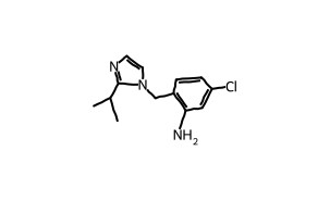 CC(C)c1nccn1Cc1ccc(Cl)cc1N